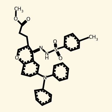 COC(=O)CCc1coc2ccc(N(c3ccccc3)c3ccccc3)cc2/c1=N\NS(=O)(=O)c1ccc(C)cc1